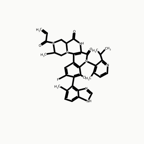 C=CC(=O)N1CC2C(=O)Nc3c(c4cc(F)c(-c5c(C)ccc6[nH]cnc56)c(Cl)c4n(-c4c(C)ccnc4C(C)C)c3=O)N2CC1C